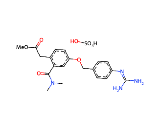 COC(=O)Cc1ccc(OCc2ccc(N=C(N)N)cc2)cc1C(=O)N(C)C.O=S(=O)(O)O